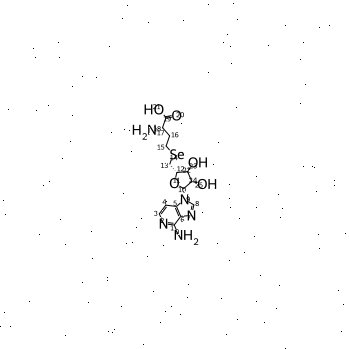 Nc1nccc2c1ncn2[C@@H]1O[C@H](C[Se]CC[C@H](N)C(=O)O)[C@@H](O)[C@H]1O